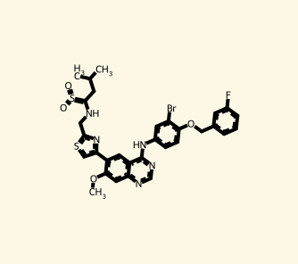 COc1cc2ncnc(Nc3ccc(OCc4cccc(F)c4)c(Br)c3)c2cc1-c1csc(CNC(CC(C)C)=S(=O)=O)n1